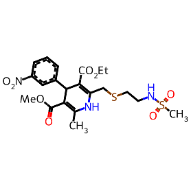 CCOC(=O)C1=C(CSCCNS(C)(=O)=O)NC(C)=C(C(=O)OC)C1c1cccc([N+](=O)[O-])c1